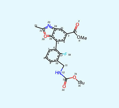 COC(=O)c1cc(-c2cccc(CNC(=O)OC(C)(C)C)c2F)c2oc(C)nc2c1